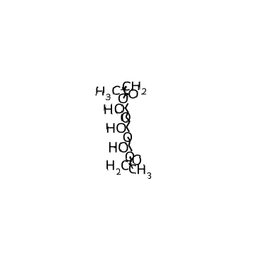 C=C(C)C(=O)OCC(O)COCC(O)COCC(O)COC(=O)C(=C)C